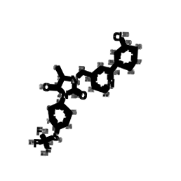 CC1C(=O)N(c2ccc(SC(F)(F)F)cc2)C(=O)N1Cc1ccnc(-c2cccc(Cl)c2)c1